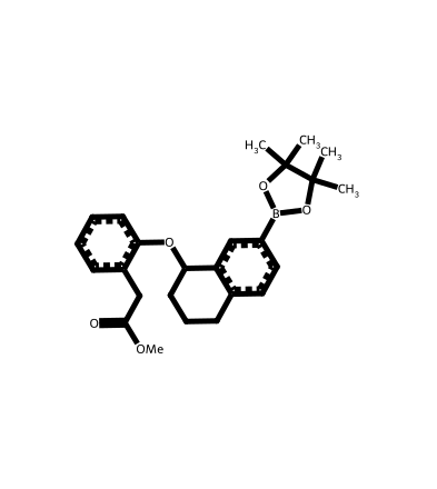 COC(=O)Cc1ccccc1OC1CCCc2ccc(B3OC(C)(C)C(C)(C)O3)cc21